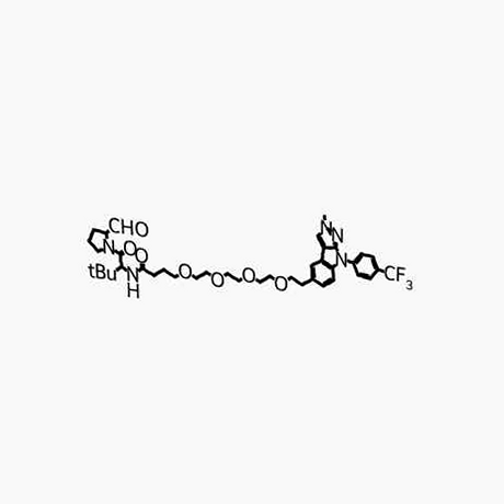 Cn1cc2c3cc(CCOCCOCCOCCOCCCC(=O)NC(C(=O)N4CCCC4C=O)C(C)(C)C)ccc3n(-c3ccc(C(F)(F)F)cc3)c2n1